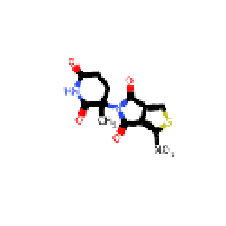 CC1(N2C(=O)c3csc([N+](=O)[O-])c3C2=O)CCC(=O)NC1=O